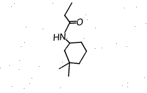 CCC(=O)NC1CCCC(C)(C)C1